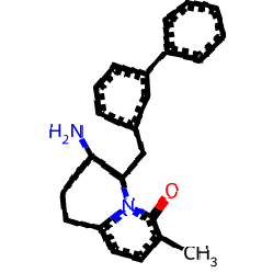 Cc1ccc2n(c1=O)C(Cc1cccc(-c3ccccc3)c1)C(N)CC2